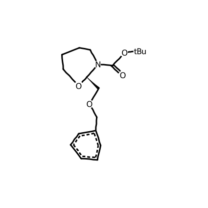 CC(C)(C)OC(=O)N1CCCCO[C@@H]1COCc1ccccc1